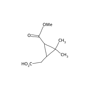 COC(=O)C1C(CC(=O)O)C1(C)C